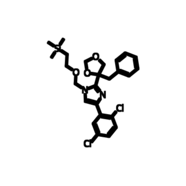 C[Si](C)(C)CCOCn1cc(-c2cc(Cl)ccc2Cl)nc1C1(Cc2ccccc2)COCO1